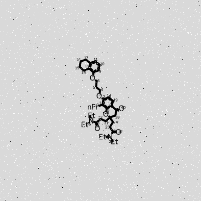 CCCc1c(OCCCOc2cccc3c2CCCC3)ccc2c1OC(CCC(=O)N(CC)CC)(CCC(=O)N(CC)CC)CC2=O